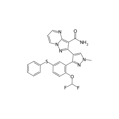 Cn1cc(-c2nn3cccnc3c2C(N)=O)c(-c2cc(Sc3ccccc3)ccc2OC(F)F)n1